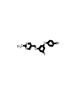 Cc1ncc(COc2cc(F)cc(Oc3[c]cc(Br)cc3)c2)cn1